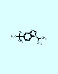 CC(C)n1cnc2cc(C(C)(C)C)ccc21